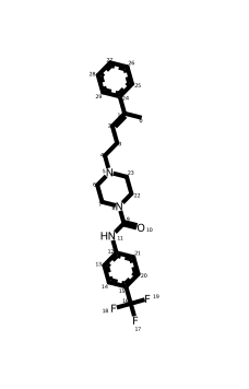 C/C(=C\CCN1CCN(C(=O)Nc2ccc(C(F)(F)F)cc2)CC1)c1ccccc1